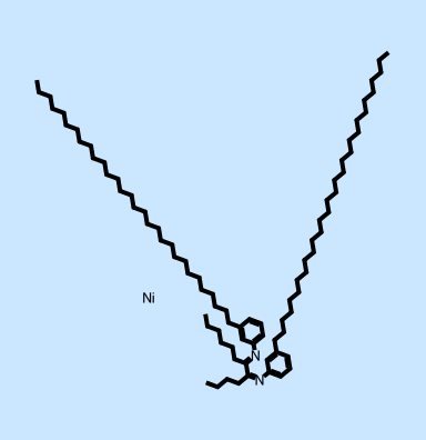 CCCCCCCCCCCCCCCCCCCCCCCCCCCCCCc1cccc(N=C(CCCC)C(CCCCCC)=Nc2cccc(CCCCCCCCCCCCCCCCCCCCCCCCCCCCCC)c2)c1.[Ni]